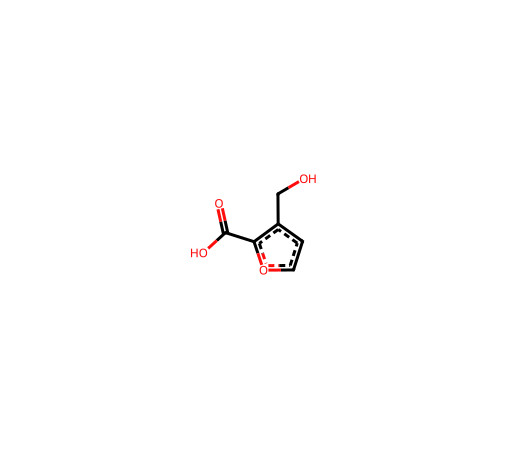 O=C(O)c1occc1CO